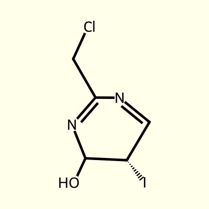 OC1N=C(CCl)N=C[C@@H]1I